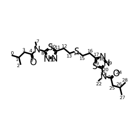 CC(C)CC(=O)N(C)c1nnc(CCSCCc2nnc(N(C)C(=O)CC(C)C)s2)s1